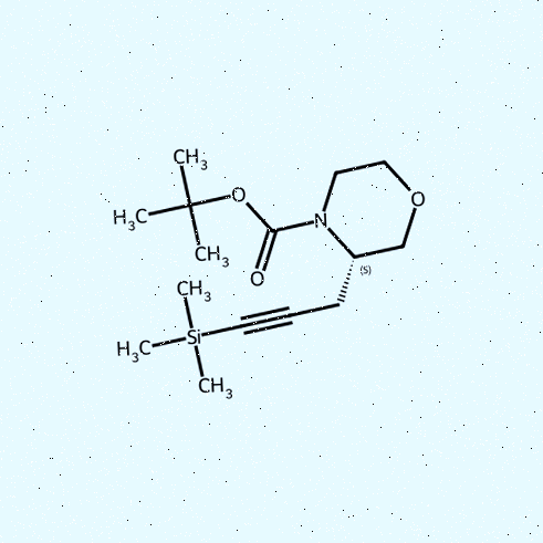 CC(C)(C)OC(=O)N1CCOC[C@@H]1CC#C[Si](C)(C)C